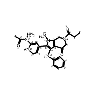 CCC(=O)N1CC(=O)c2c(Nc3ccccc3)c(C3=CCNC(N(N)C(C)=O)=C3)n(N)c2C1